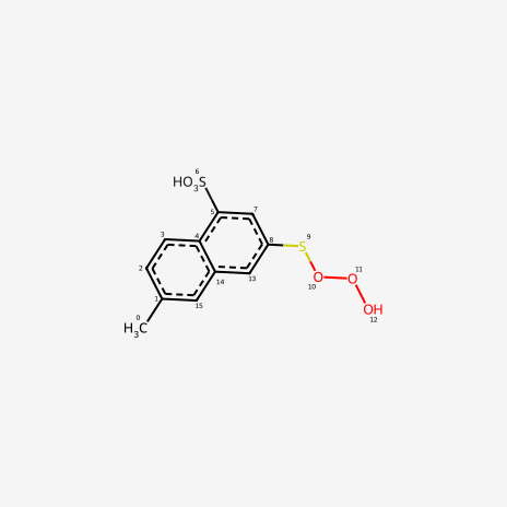 Cc1ccc2c(S(=O)(=O)O)cc(SOOO)cc2c1